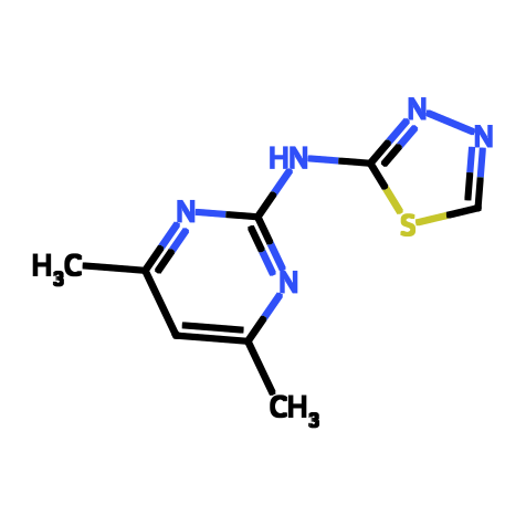 Cc1cc(C)nc(Nc2nncs2)n1